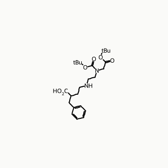 CC(C)(C)OC(=O)CN(CCNCCC(Cc1ccccc1)C(=O)O)C(=O)OC(C)(C)C